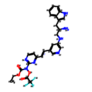 CCOC(=O)N(OC(=O)C(F)(F)F)c1nccc(/C=C/c2cncc(NC[C@H](N)Cc3c[nH]c4ccccc34)c2)n1